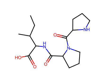 CCC(C)C(NC(=O)C1CCCN1C(=O)C1CCCN1)C(=O)O